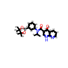 CC(C)N(C(=O)c1c[nH]c2ncccc2c1=O)c1cccc(B2OC(C)(C)C(C)(C)O2)c1